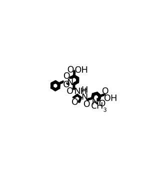 Cn1c(C(=O)N[C@@H]2COC[C@@H]2NC(=O)c2ccc(C(=O)O)c(=O)n2OCc2ccccc2)ccc(C(=O)O)c1=O